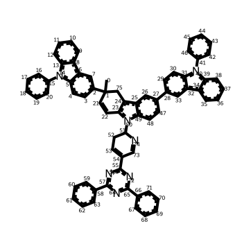 CC1(c2ccc3c(c2)c2ccccc2n3-c2ccccc2)C=Cc2c(c3cc(-c4ccc5c(c4)c4ccccc4n5-c4ccccc4)ccc3n2C2CC=C(c3nc(-c4ccccc4)nc(-c4ccccc4)n3)C=N2)C1